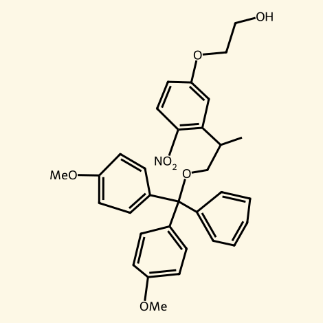 COc1ccc(C(OCC(C)c2cc(OCCO)ccc2[N+](=O)[O-])(c2ccccc2)c2ccc(OC)cc2)cc1